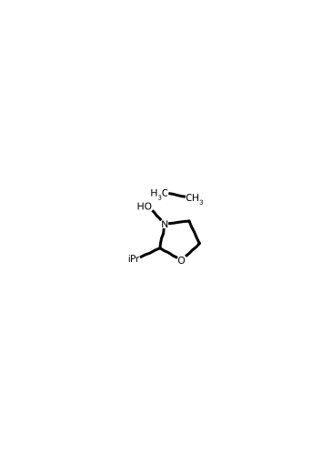 CC.CC(C)C1OCCN1O